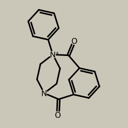 O=C1c2cccc(c2)C(=O)[N+]2(c3ccccc3)CCN1CC2